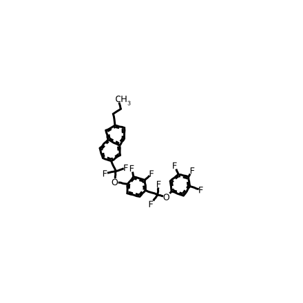 CCCc1ccc2cc(C(F)(F)Oc3ccc(C(F)(F)Oc4cc(F)c(F)c(F)c4)c(F)c3F)ccc2c1